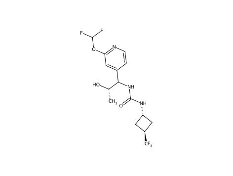 C[C@H](O)C(NC(=O)N[C@H]1C[C@H](C(F)(F)F)C1)c1ccnc(OC(F)F)c1